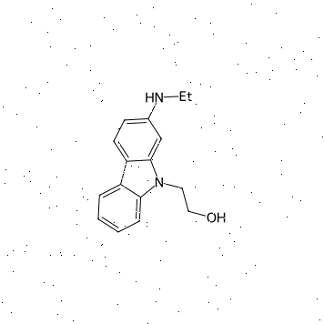 CCNc1ccc2c3ccccc3n(CCO)c2c1